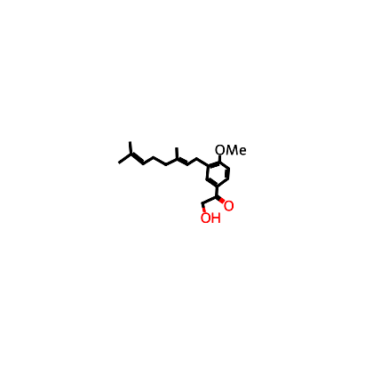 COc1ccc(C(=O)CO)cc1C/C=C(\C)CCC=C(C)C